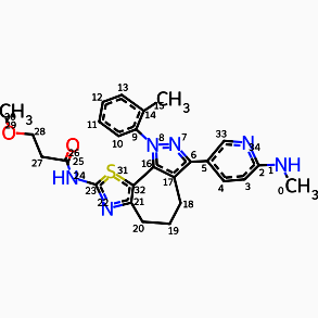 CNc1ccc(-c2nn(-c3ccccc3C)c3c2CCCc2nc(NC(=O)CCOC)sc2-3)cn1